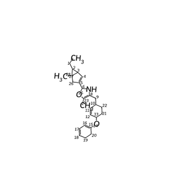 CCC1C2C=C(C3NC(CC4C=CC(OC5=CC=CCC5)CC4)=C(C)O3)C[C@@]21C